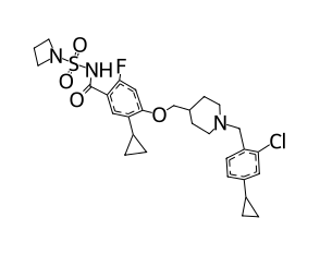 O=C(NS(=O)(=O)N1CCC1)c1cc(C2CC2)c(OCC2CCN(Cc3ccc(C4CC4)cc3Cl)CC2)cc1F